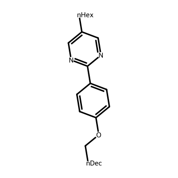 CCCCCCCCCCCOc1ccc(-c2ncc(CCCCCC)cn2)cc1